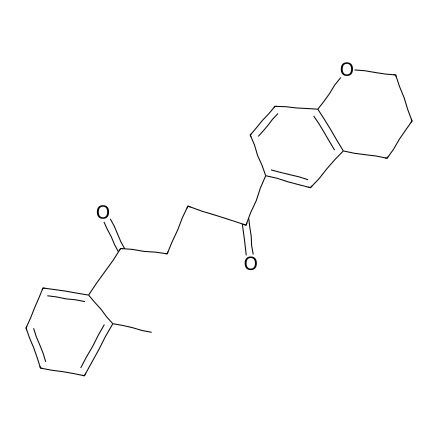 Cc1ccccc1C(=O)CCC(=O)c1ccc2c(c1)CCCO2